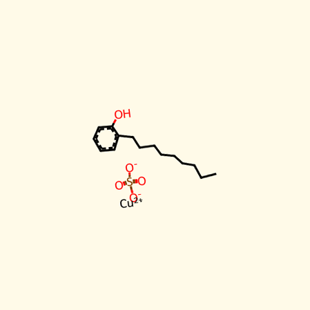 CCCCCCCCCc1ccccc1O.O=S(=O)([O-])[O-].[Cu+2]